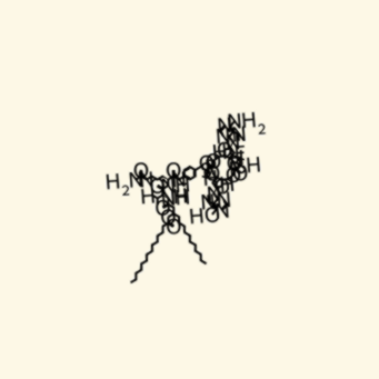 CCCCCCCCCCCCCC(=O)OC(CCCCCCCCCCC)CC(=O)N[C@H](C(=O)N[C@@H](CCCNC(N)=O)C(=O)Nc1ccc(CSP2(=O)OC[C@H]3O[C@@H](n4cnc5c(N)ncnc54)[C@H](F)[C@@H]3OP(=O)(S)OC[C@H]3O[C@@H](n4cnc5c(O)ncnc54)C[C@@H]3O2)cc1)C(C)C